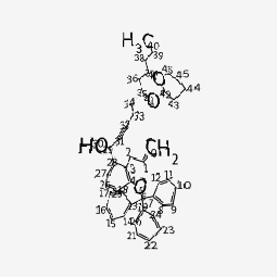 C=CCc1c(OC(c2ccccc2)(c2ccccc2)c2ccccc2)cccc1C(O)C#CCC[C@H](CCCCC)OC1CCCCO1